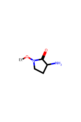 CCON1CCC(N)C1=O